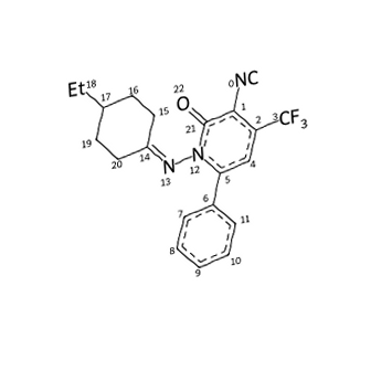 [C-]#[N+]c1c(C(F)(F)F)cc(-c2ccccc2)n(N=C2CCC(CC)CC2)c1=O